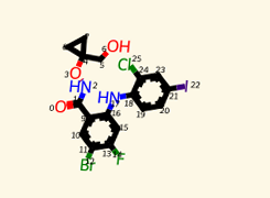 O=C(NOC1(CO)CC1)c1cc(Br)c(F)cc1Nc1ccc(I)cc1Cl